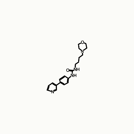 O=C(NCCCCN1CCOCC1)Nc1ccc(-c2cccnc2)cc1